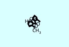 C[C@@H]1O[C@@]2(OCc3cccc(O)c32)c2c(O)cccc21